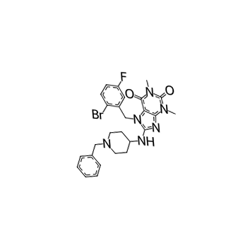 Cn1c(=O)c2c(nc(NC3CCN(Cc4ccccc4)CC3)n2Cc2cc(F)ccc2Br)n(C)c1=O